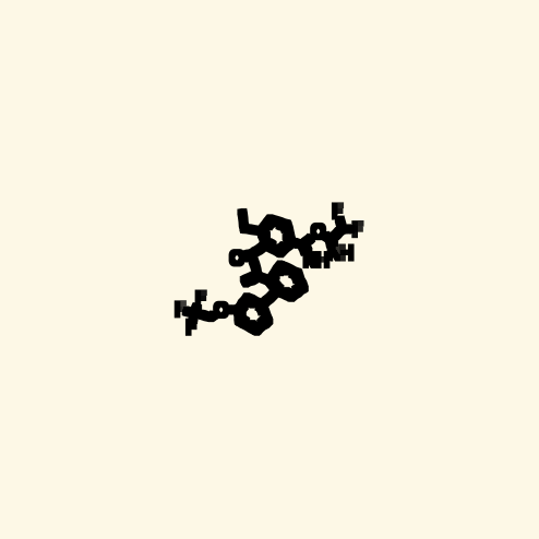 C=C(C(=O)c1cc(C(=N)OC(=N)C(F)F)ccc1CC)c1ccccc1-c1cccc(OCC(F)(F)F)c1